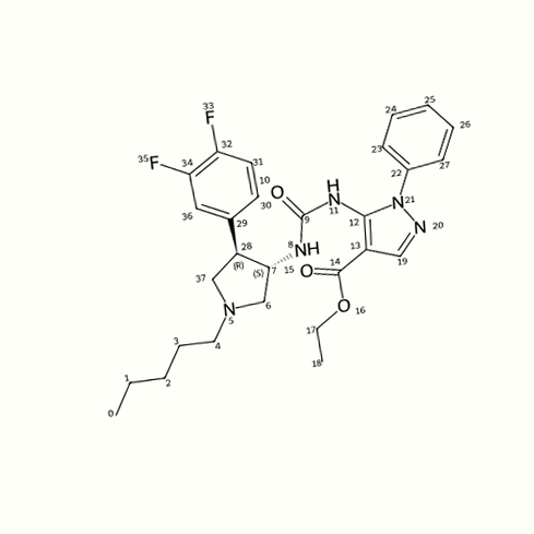 CCCCCN1C[C@@H](NC(=O)Nc2c(C(=O)OCC)cnn2-c2ccccc2)[C@H](c2ccc(F)c(F)c2)C1